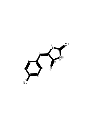 CCc1ccc(C=C2SC(=O)NC2=S)cc1